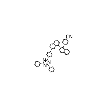 N#Cc1ccc(-c2c(-c3cccc4ccc(-c5ccc(-c6nc(-c7ccccc7)nc(-c7ccccc7)n6)cc5)cc34)ccc3ccccc23)cc1